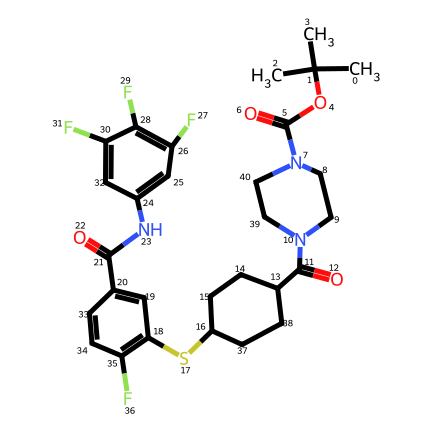 CC(C)(C)OC(=O)N1CCN(C(=O)C2CCC(Sc3cc(C(=O)Nc4cc(F)c(F)c(F)c4)ccc3F)CC2)CC1